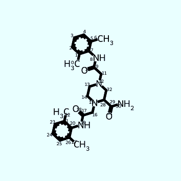 Cc1cccc(C)c1NC(=O)CN1CCN(CC(=O)Nc2c(C)cccc2C)C(C(N)=O)C1